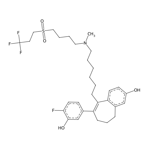 CN(CCCCCCC1=C(c2ccc(F)c(O)c2)CCCc2cc(O)ccc21)CCCCS(=O)(=O)CCC(F)(F)F